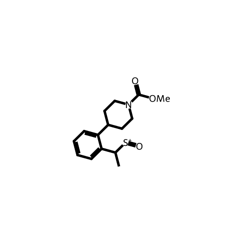 COC(=O)N1CCC(c2ccccc2C(C)[S+]=O)CC1